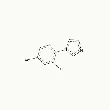 CC(=O)c1ccc(-n2ccnc2)c(F)c1